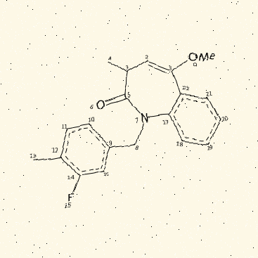 COC1=CC(C)C(=O)N(Cc2ccc(C)c(F)c2)c2ccccc21